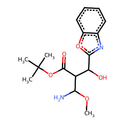 COC(N)C(C(=O)OC(C)(C)C)C(O)c1nc2ccccc2o1